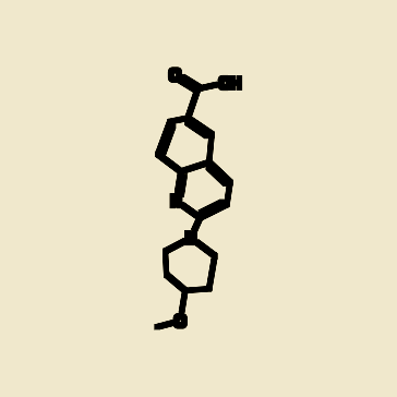 COC1CCN(c2ccc3cc(C(=O)O)ccc3n2)CC1